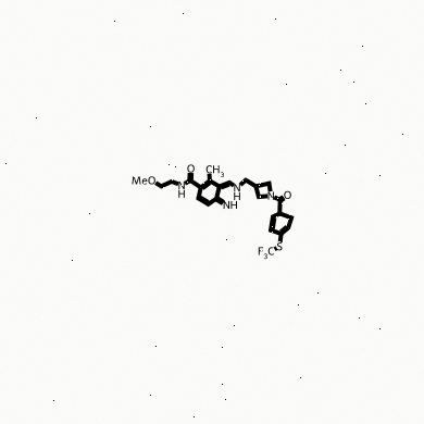 COCCNC(=O)C1=C(C)/C(=C/NCC2CN(C(=O)C3C=CC(SC(F)(F)F)=CC3)C2)C(=N)C=C1